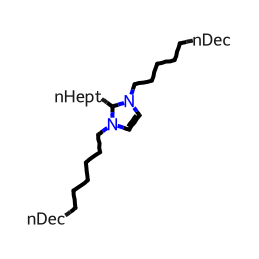 CCCCCCCCCCCCCCCCN1C=CN(CCCCCCCCCCCCCCC)C1CCCCCCC